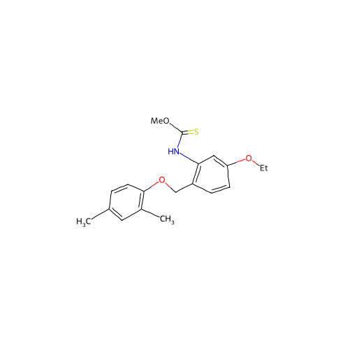 CCOc1ccc(COc2ccc(C)cc2C)c(NC(=S)OC)c1